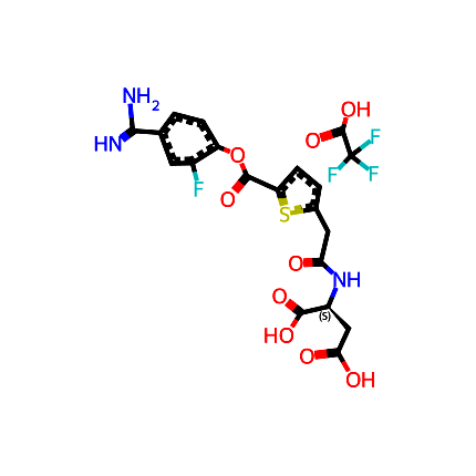 N=C(N)c1ccc(OC(=O)c2ccc(CC(=O)N[C@@H](CC(=O)O)C(=O)O)s2)c(F)c1.O=C(O)C(F)(F)F